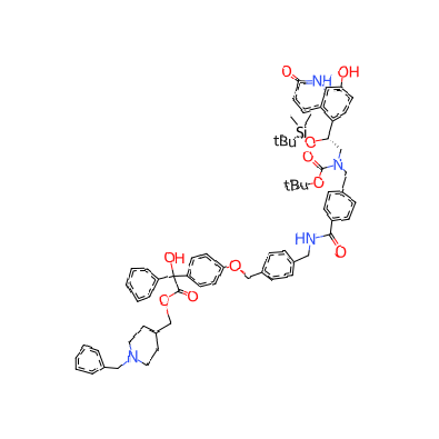 CC(C)(C)OC(=O)N(Cc1ccc(C(=O)NCc2ccc(COc3ccc(C(O)(C(=O)OCC4CCN(Cc5ccccc5)CC4)c4ccccc4)cc3)cc2)cc1)C[C@H](O[Si](C)(C)C(C)(C)C)c1ccc(O)c2[nH]c(=O)ccc12